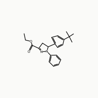 CCOC(=O)C1=NN(c2ccccc2)C(c2ccc(C(C)(C)C)cc2)C1